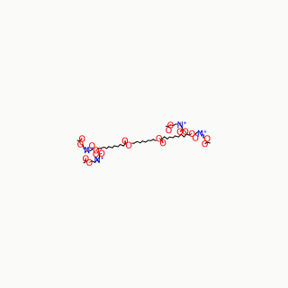 CC(=O)OCC[N+](C)(C)CC(=O)OCC(CCCCCCCCC(=O)OCCCCCCCCCCOC(=O)CCCCCCCCC(COC(=O)C[N+](C)(C)CCOC(C)=O)OC(=O)C[N+](C)(C)CCOC(C)=O)OC(=O)C[N+](C)(C)CCOC(C)=O